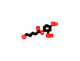 O=CCCCC(=O)Oc1ccc(O)cc1O